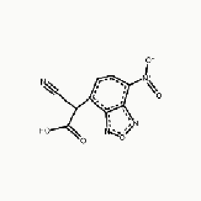 N#CC(C(=O)O)c1ccc([N+](=O)[O-])c2nonc12